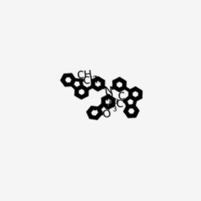 CC1(C)c2ccccc2-c2cccc(-c3cccc(N(c4cccc(-c5cccc6c5C(C)(C)c5ccccc5-6)c4)c4ccc5oc6ccccc6c5c4)c3)c21